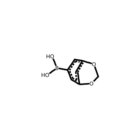 OB(O)c1cc2cc(c1)OCO2